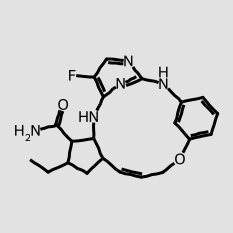 CCC1CC2/C=C\COc3cccc(c3)Nc3ncc(F)c(n3)NC2C1C(N)=O